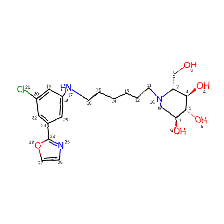 OC[C@@H]1[C@@H](O)[C@H](O)[C@@H](O)CN1CCCCCCNc1cc(Cl)cc(-c2ncco2)c1